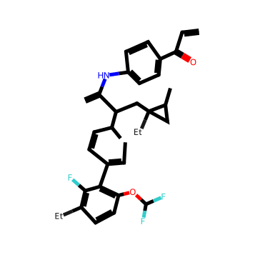 C=CC(=O)c1ccc(NC(=C)C(CC2(CC)CC2C)C(C)/C=C\C(=C/C)c2c(OC(F)F)ccc(CC)c2F)cc1